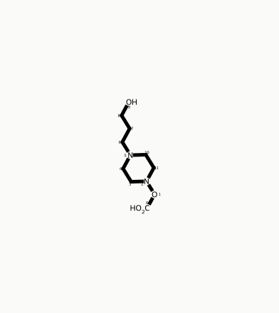 O=C(O)ON1CCN(CCCO)CC1